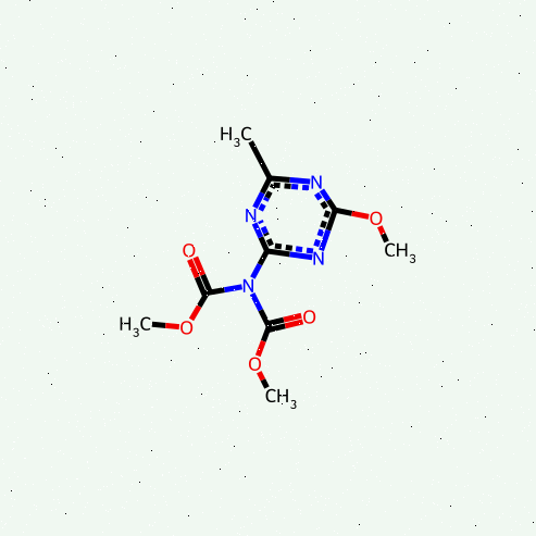 COC(=O)N(C(=O)OC)c1nc(C)nc(OC)n1